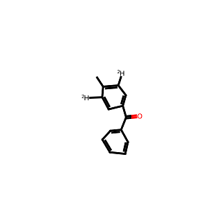 [2H]c1cc(C(=O)c2ccccc2)cc([2H])c1C